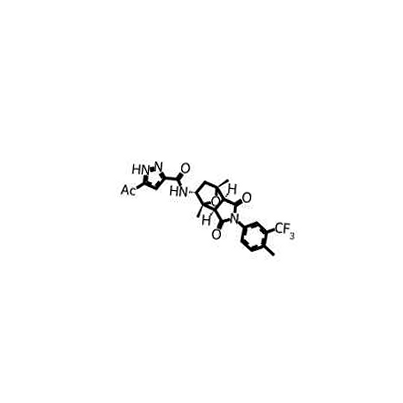 CC(=O)c1cc(C(=O)N[C@@H]2C[C@@]3(C)O[C@]2(C)[C@@H]2C(=O)N(c4ccc(C)c(C(F)(F)F)c4)C(=O)[C@@H]23)n[nH]1